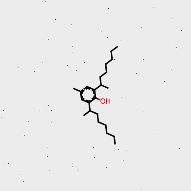 CCCCCCC(C)c1cc(C)cc(C(C)CCCCCC)c1O